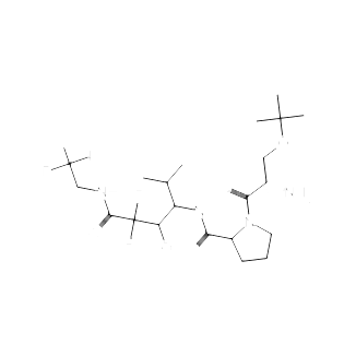 CC(C)C(NC(=O)C1CCCN1C(=O)[C@@H](N)COC(C)(C)C)C(O)C(F)(F)C(=O)NCC(F)(F)F